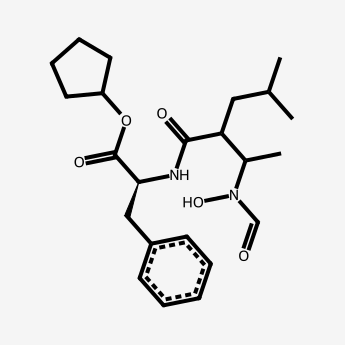 CC(C)CC(C(=O)N[C@@H](Cc1ccccc1)C(=O)OC1CCCC1)C(C)N(O)C=O